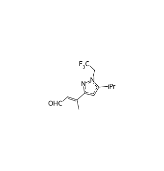 C/C(=C\C=O)c1cc(C(C)C)n(CC(F)(F)F)n1